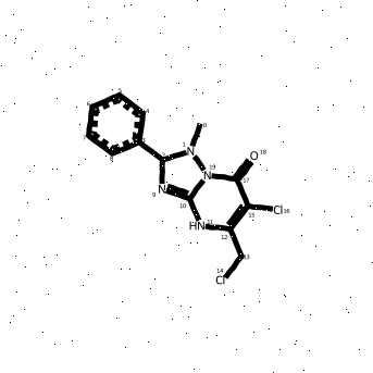 CN1C(c2ccccc2)N=C2NC(CCl)=C(Cl)C(=O)N21